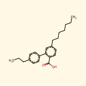 CCCCCCCc1ccc(C(=O)O)c(-c2ccc(CCC)cc2)c1